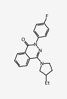 [CH2]CC1CCN(c2nn(-c3ccc(F)cc3)c(=O)c3ccccc23)C1